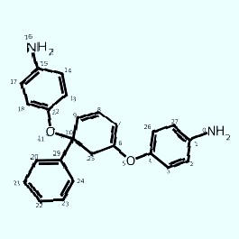 Nc1ccc(OC2=CC=CC(Oc3ccc(N)cc3)(c3ccccc3)C2)cc1